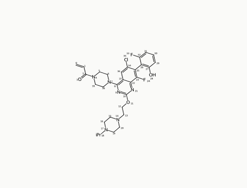 C=CC(=O)N1CCN(c2nc(OCCN3CCN(C(C)C)CC3)nc3c(F)c(-c4c(O)cccc4F)c(Cl)cc23)CC1